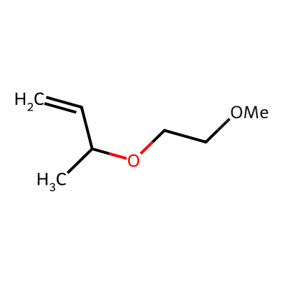 C=CC(C)OCCOC